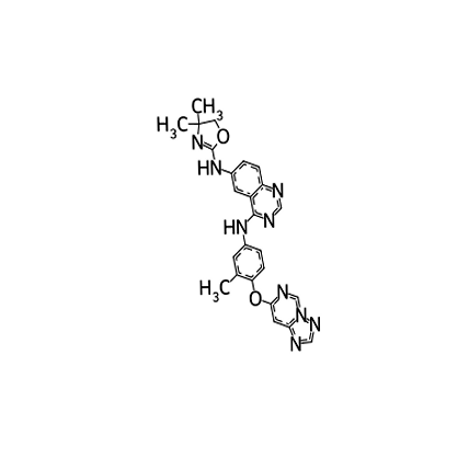 Cc1cc(Nc2ncnc3ccc(NC4=NC(C)(C)CO4)cc23)ccc1Oc1cc2ncnn2cn1